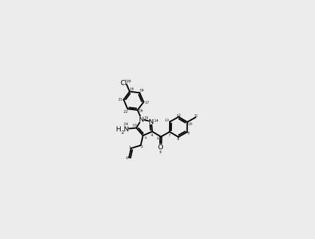 C=CCc1c(C(=O)c2ccc(C)cc2)nn(-c2ccc(Cl)cc2)c1N